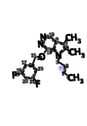 C/C=C/Cn1c(C)c(C)c2cnnc(OCc3cc(F)cc(F)c3)c21